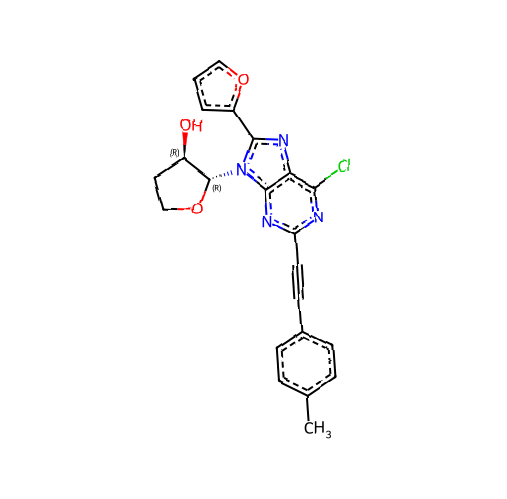 Cc1ccc(C#Cc2nc(Cl)c3nc(-c4ccco4)n([C@@H]4OCC[C@H]4O)c3n2)cc1